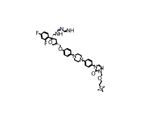 C[Si](C)(C)CCOCn1ncn(-c2ccc(N3CCN(c4ccc(OC[C@@H]5CO[C@@](CN/C=N\C=N)(c6ccc(F)cc6F)C5)cc4)CC3)cc2)c1=O